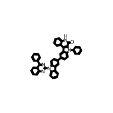 O=c1[nH]c2ccccc2c2c3cc(-c4ccc5c(c4)c4ccccc4n5-c4nc(-c5ccccc5)c5ccccc5n4)ccc3n(-c3ccccc3)c12